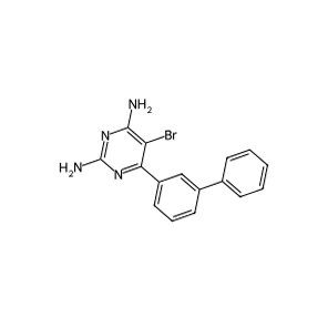 Nc1nc(N)c(Br)c(-c2cccc(-c3ccccc3)c2)n1